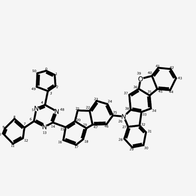 c1ccc(-c2nc(-c3ccccc3)nc(-c3cccc4c3Cc3ccc(-n5c6ccccc6c6cc7c(cc65)oc5ccccc57)cc3-4)n2)cc1